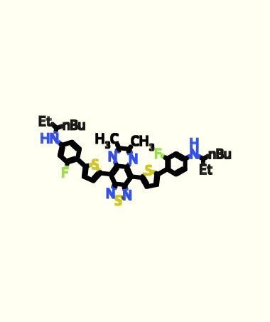 CCCCC(CC)Nc1ccc(-c2ccc(-c3c4nsnc4c(-c4ccc(-c5ccc(NC(CC)CCCC)cc5F)s4)c4nc(C)c(C)nc34)s2)c(F)c1